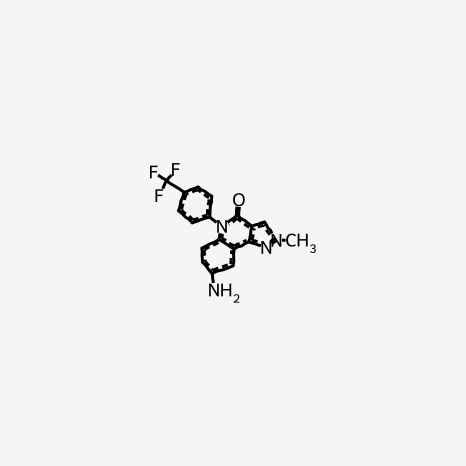 Cn1cc2c(=O)n(-c3ccc(C(F)(F)F)cc3)c3ccc(N)cc3c2n1